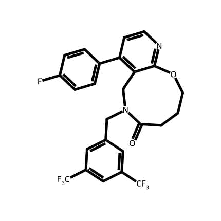 O=C1CCCOc2nccc(-c3ccc(F)cc3)c2CN1Cc1cc(C(F)(F)F)cc(C(F)(F)F)c1